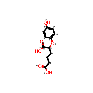 O=C(O)CCCC(Oc1ccc(O)cc1)C(=O)O